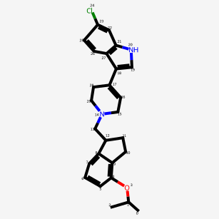 CC(C)Oc1cccc2c1CCC2CN1CC=C(c2c[nH]c3cc(Cl)ccc23)CC1